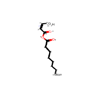 CCCCCCCCCCCCCCCC(=O)OC(=O)/C=C\C(=O)O